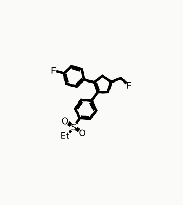 CCS(=O)(=O)c1ccc(C2=C(c3ccc(F)cc3)CC(CF)C2)cc1